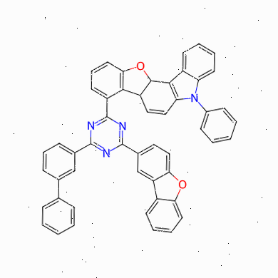 C1=CC2c3c(cccc3-c3nc(-c4cccc(-c5ccccc5)c4)nc(-c4ccc5oc6ccccc6c5c4)n3)OC2c2c1n(-c1ccccc1)c1ccccc21